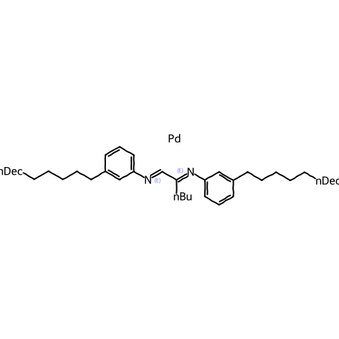 CCCCCCCCCCCCCCCc1cccc(/N=C/C(CCCC)=N/c2cccc(CCCCCCCCCCCCCCC)c2)c1.[Pd]